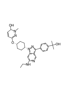 CCNc1cc2c(cn1)c(-c1ccc(C(C)(C)O)cc1)nn2[C@H]1CC[C@@H](OC2=NN(C)C(O)C=C2)CC1